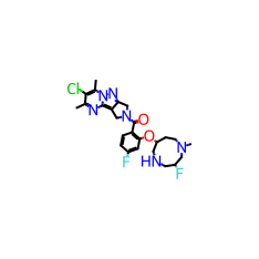 Cc1nc2c3c(nn2c(C)c1Cl)CN(C(=O)c1ccc(F)cc1OC1CCN(C)CC(F)CNC1)C3